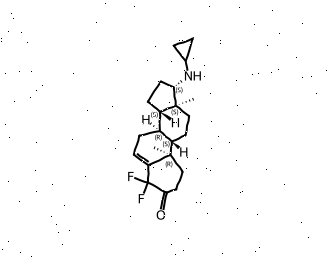 C[C@]12CC[C@H]3[C@@H](CC=C4C(F)(F)C(=O)CC[C@@]43C)[C@@H]1CC[C@@H]2NC1CC1